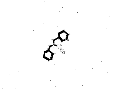 [Cl-].[Cl-].[Ti+2][N](Cc1ccccc1)Cc1ccccc1